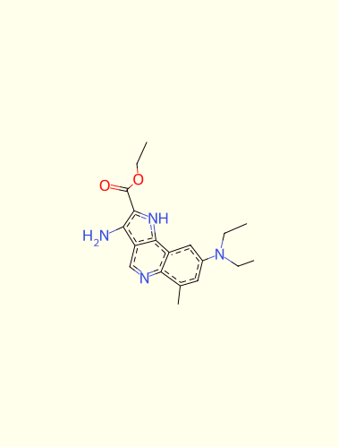 CCOC(=O)c1[nH]c2c(cnc3c(C)cc(N(CC)CC)cc32)c1N